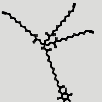 C#CCOCCOCCOCCNC(=O)CCC(CCC(=O)NCCOCCOCCOCC#C)(CCC(=O)NCCOCCOCCOCC#C)NC(=O)CCOCCOCCOCCC(=O)Oc1c(F)c(F)c(F)c(F)c1F